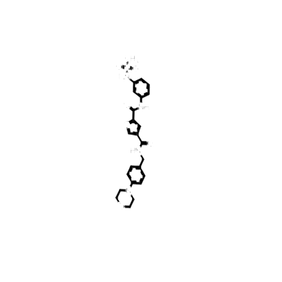 CS(=O)(=O)Nc1cccc(NC(=O)c2cc(C(=O)NCc3ccc(N4CCOCC4)cc3)cs2)c1